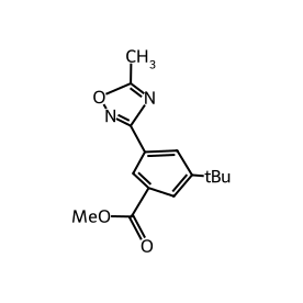 COC(=O)c1cc(-c2noc(C)n2)cc(C(C)(C)C)c1